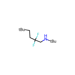 CC(C)(C)CCC(F)(F)CNC(C)(C)C